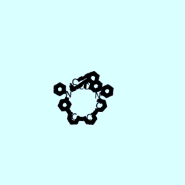 c1ccc(-n2c3cccc(c3)c3cccc(c3)c3cccc(c3)c3cccc(c3)n(-c3ccccc3)c3ccc4ccc5ccc2c2ccc3c4c52)cc1